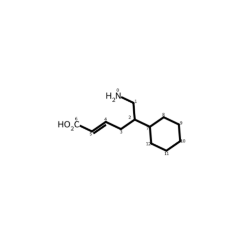 NCC(CC=CC(=O)O)C1CCCCC1